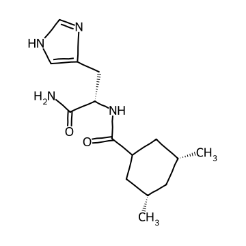 C[C@@H]1CC(C(=O)N[C@@H](Cc2c[nH]cn2)C(N)=O)C[C@H](C)C1